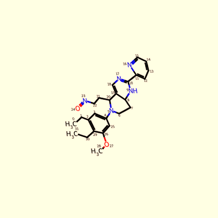 CCc1cc(N2CCC3NC(c4ccccn4)=NC=C3C2CCN=O)cc(OC)c1CC